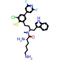 CN(C(=O)[C@@H](N)CCCCN)C(CCc1cc(-c2cc(F)nc(F)c2)cc(Cl)c1S)Cc1c[nH]c2ccccc12